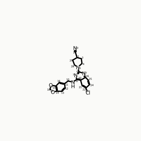 N#CC1CCN(c2nc(NCc3ccc4c(c3)OCO4)c3cc(Cl)ccc3n2)CC1